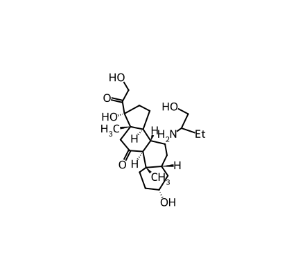 CCC(N)CO.C[C@]12CC[C@@H](O)C[C@H]1CC[C@@H]1[C@@H]2C(=O)C[C@@]2(C)[C@H]1CC[C@]2(O)C(=O)CO